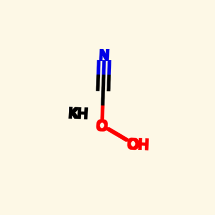 N#COO.[KH]